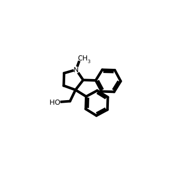 CN1CCC(CO)(c2ccccc2)C1c1ccccc1